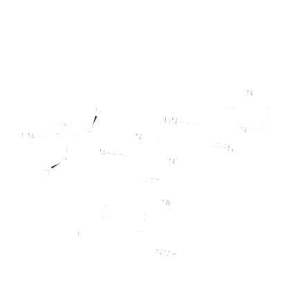 CNc1cc(F)cc2c1[nH]c1nc(Nc3cnn4ccnc4c3)nc(N3C[C@H]4[C@@H](C)[C@@H]3C[C@H]4N)c12